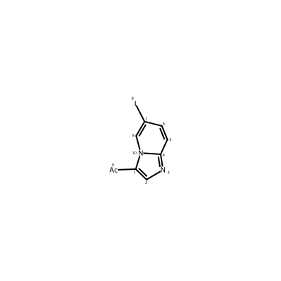 CC(=O)c1cnc2ccc(I)cn12